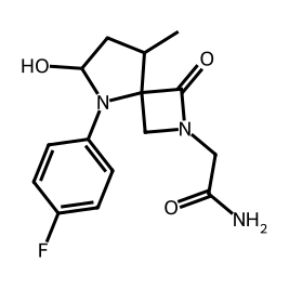 CC1CC(O)N(c2ccc(F)cc2)C12CN(CC(N)=O)C2=O